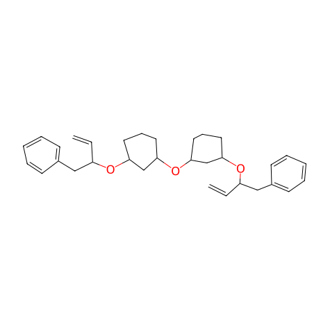 C=CC(Cc1ccccc1)OC1CCCC(OC2CCCC(OC(C=C)Cc3ccccc3)C2)C1